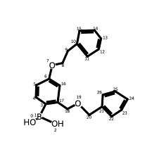 OB(O)c1ccc(OCCc2ccccc2)cc1COCc1ccccc1